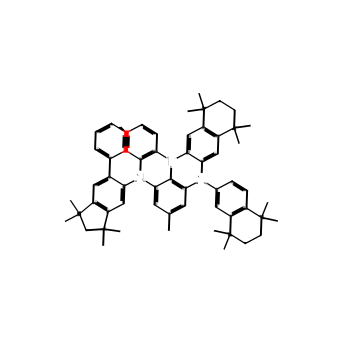 Cc1ccc2c(c1)N(c1cc3c(cc1-c1ccccc1)C(C)(C)CC3(C)C)c1cc(C)cc3c1B2c1cc2c(cc1N3c1ccc3c(c1)C(C)(C)CCC3(C)C)C(C)(C)CCC2(C)C